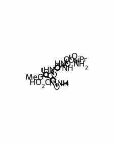 C=Cc1cc(C(=O)Nc2ccc(C(=N)NC(=O)OC(C)OC(=O)[C@@H](N)C(C)C)cc2)c(-c2ccc(C(=O)NCC3CC3)nc2C(=O)O)cc1OC